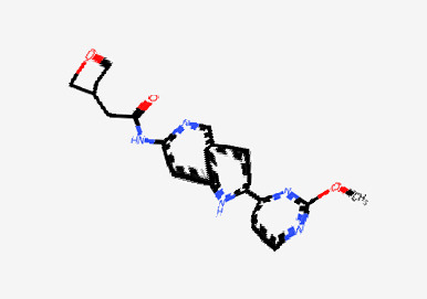 COc1nccc(-c2cc3cnc(NC(=O)CC4COC4)cc3[nH]2)n1